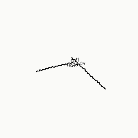 CCCCCCCCCCCCCCCCCCCCCCC(O)C(=O)NC(CCC)NC(=O)C(O)CCCCCCCCCCCCCCCCCCCCCC